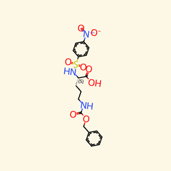 O=C(NCCC[C@H](NS(=O)(=O)c1ccc([N+](=O)[O-])cc1)C(=O)O)OCc1ccccc1